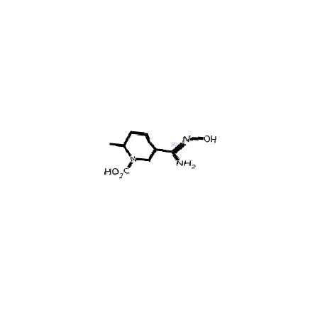 CC1CCC(/C(N)=N/O)CN1C(=O)O